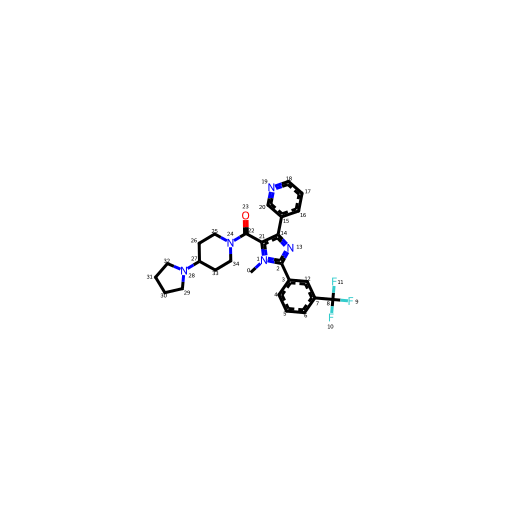 Cn1c(-c2cccc(C(F)(F)F)c2)nc(-c2cccnc2)c1C(=O)N1CCC(N2CCCC2)CC1